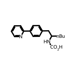 CCCCC(Cc1ccc(-c2ccccn2)cc1)NC(=O)O